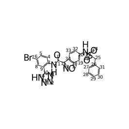 O=C(Nc1ccc(Br)cc1-c1nnn[nH]1)c1noc2cc(NS(=O)(=O)Cc3ccccc3)ccc12